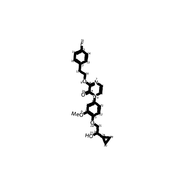 COc1cc(-n2ccnc(OCCc3ccc(F)cc3)c2=O)ccc1OCC(O)C1CC1